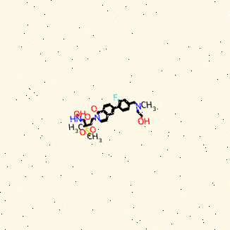 CN(CCO)Cc1ccc(-c2ccc3c(=O)n(CCC(C)(C(=O)NO)S(C)(=O)=O)ccc3c2)c(F)c1